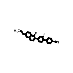 CCCc1ccc2c(F)c(-c3ccc(-c4ccc(C#N)cc4)c(F)c3)ccc2c1